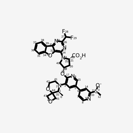 C[C@@H]1N(c2cc(-c3ccnc([S+](C)[O-])c3)cnc2O[C@H]2C[C@@H](C(=O)O)N(c3nc(C(F)F)nc4c3oc3ccccc34)C2)CCOC12COC2